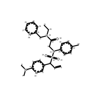 C=CC(c1ccc(N(C)C)nc1)S(=O)(=O)N(CC(=O)N(CC)Cc1ccccn1)c1ccc(C)cc1